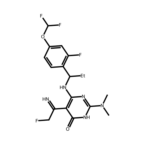 CCC(Nc1nc(N(C)C)[nH]c(=O)c1C(=N)CF)c1ccc(OC(F)F)cc1F